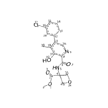 COC(=O)C1(NC(=O)c2ncc(-c3cccc(Cl)c3)c(C)c2O)COC1